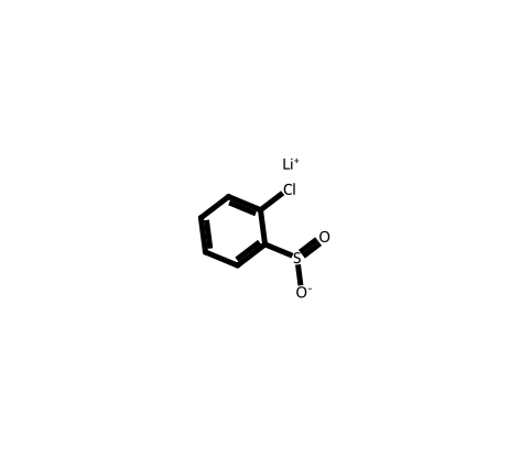 O=S([O-])c1ccccc1Cl.[Li+]